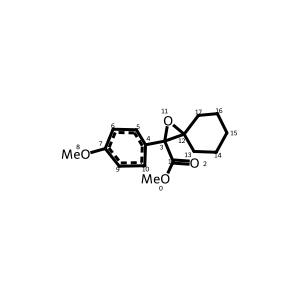 COC(=O)C1(c2ccc(OC)cc2)OC12CCCCC2